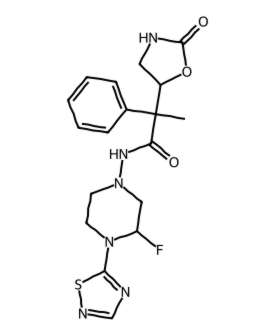 CC(C(=O)NN1CCN(c2ncns2)C(F)C1)(c1ccccc1)C1CNC(=O)O1